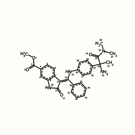 COC(=O)c1ccc2c(c1)NC(=O)C2=C(Nc1ccc(C(C)(N)C(=O)N(C)C)cc1)c1ccccc1